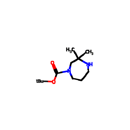 CC1(C)CN(C(=O)OC(C)(C)C)CCCN1